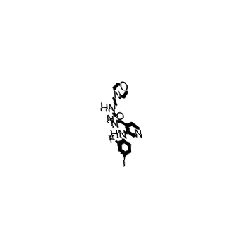 Fc1cc(I)ccc1Nc1cnccc1-c1nnc(NCCN2CCOCC2)o1